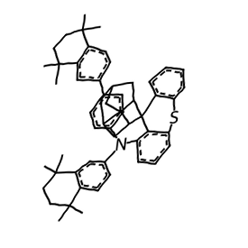 CC1(C)CCC(C)(C)c2cc(-c3ccc(N(c4ccc5c(c4)C(C)(C)CCC5(C)C)c4cccc5c4C4(c6ccccc6S5)C5CC6CC7CC4C75C6)cc3)ccc21